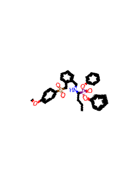 CCCC(NCc1ccccc1CS(=O)(=O)c1ccc(OC)cc1)P(=O)(Oc1ccccc1)Oc1ccccc1